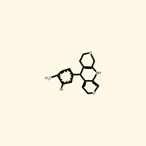 Cc1ccc(C2C3=CCOC=C3NC3=C2CCOC3)cc1Br